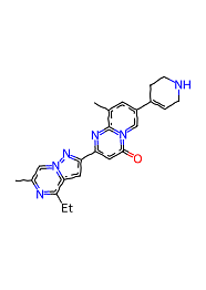 CCc1nc(C)cn2nc(-c3cc(=O)n4cc(C5=CCNCC5)cc(C)c4n3)cc12